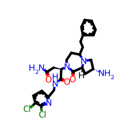 NC(=O)C[C@H](C(=O)NCc1ccc(Cl)c(Cl)n1)N1CCC(CCc2ccccc2)N2C[C@H](N)C[C@H]2C1=O